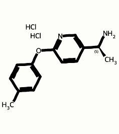 Cc1ccc(Oc2ccc([C@H](C)N)cn2)cc1.Cl.Cl